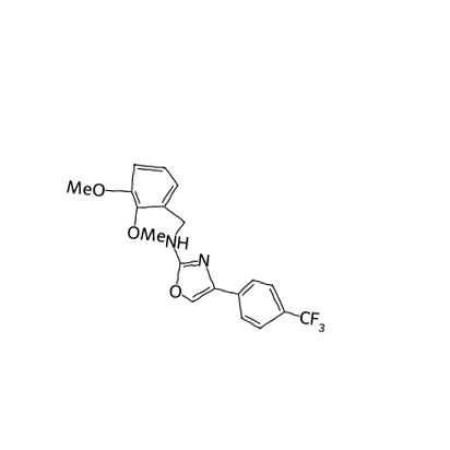 COc1cccc(CNc2nc(-c3ccc(C(F)(F)F)cc3)co2)c1OC